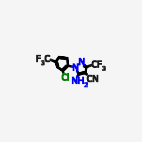 N#Cc1c(C(F)(F)F)nn(-c2ccc(C(F)(F)F)cc2Cl)c1N